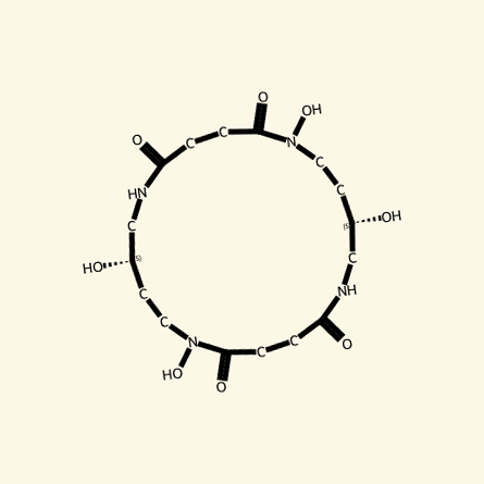 O=C1CCC(=O)N(O)CC[C@H](O)CNC(=O)CCC(=O)N(O)CC[C@H](O)CN1